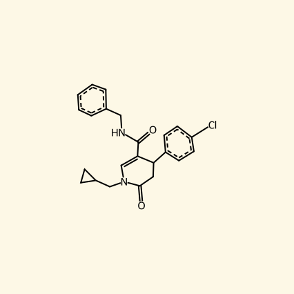 O=C(NCc1ccccc1)C1=CN(CC2CC2)C(=O)CC1c1ccc(Cl)cc1